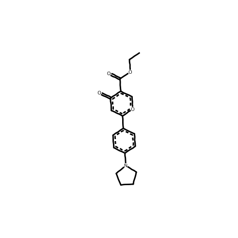 CCOC(=O)c1coc(-c2ccc(N3CCCC3)cc2)cc1=O